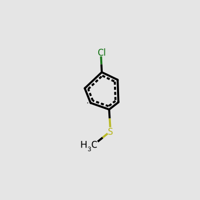 CSc1[c]cc(Cl)cc1